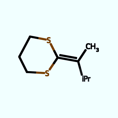 CC(=C1SCCCS1)C(C)C